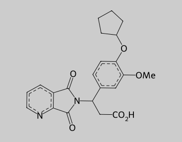 COc1cc(C(CC(=O)O)N2C(=O)c3cccnc3C2=O)ccc1OC1CCCC1